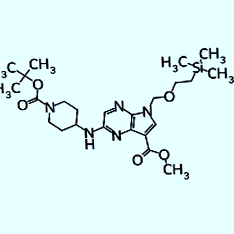 COC(=O)c1cn(COCC[Si](C)(C)C)c2ncc(NC3CCN(C(=O)OC(C)(C)C)CC3)nc12